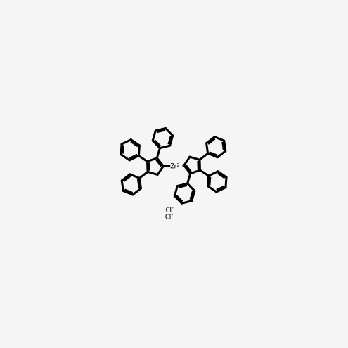 [Cl-].[Cl-].c1ccc(C2=C(c3ccccc3)C(c3ccccc3)=[C]([Zr+2][C]3=C(c4ccccc4)C(c4ccccc4)=C(c4ccccc4)C3)C2)cc1